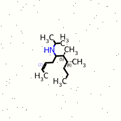 C/C=C\CC(NC(C)C)[C@@H](C)[C@H](C)CCC